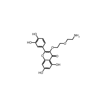 NCCOCCOc1c(-c2ccc(O)c(O)c2)oc2cc(O)cc(O)c2c1=O